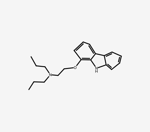 CCCN(CCC)CCOc1cccc2c1[nH]c1ccccc12